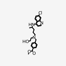 COC(=O)c1ccc(CN(CCO)CCCC(C)Nc2ccnc3cc(Cl)ccc23)cc1